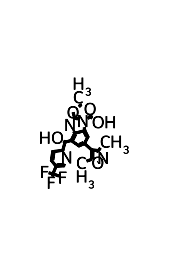 CCOc1nc2c(C(O)c3ccc(C(F)(F)F)cn3)cc(-c3c(C)noc3C)cc2n1C(=O)O